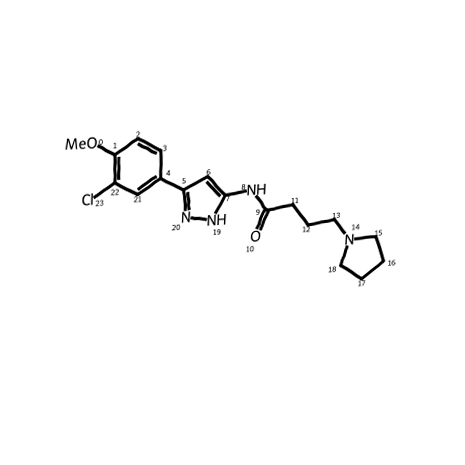 COc1ccc(-c2cc(NC(=O)CCCN3CCCC3)[nH]n2)cc1Cl